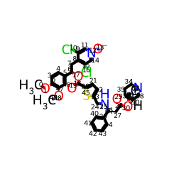 COc1ccc(C(Cc2c(Cl)c[n+]([O-])cc2Cl)OC(=O)c2ccc(CN[C@@H](CC(=O)O[C@H]3CN4CCC3CC4)c3ccccc3)s2)cc1OC